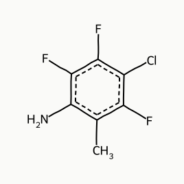 Cc1c(N)c(F)c(F)c(Cl)c1F